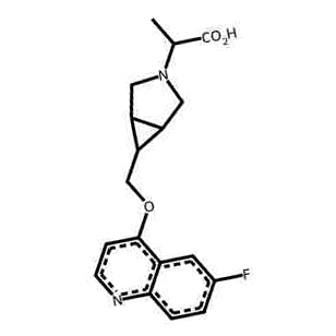 CC(C(=O)O)N1CC2C(COc3ccnc4ccc(F)cc34)C2C1